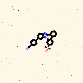 CP(C)(=O)c1ccc2c3ccccc3c3nc4ccc(-c5ccc(C#N)cc5)cc4n3c2c1